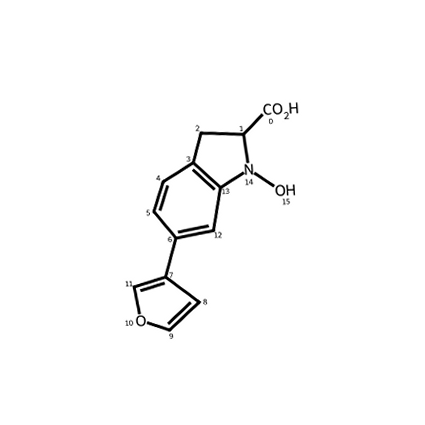 O=C(O)C1Cc2ccc(-c3ccoc3)cc2N1O